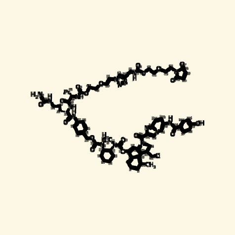 Cc1cccc2c(OC(=O)N(C)[C@H]3CCCC[C@H]3N(C)C(=O)OCc3ccc(NC(=O)[C@H](CCCNC(N)=O)NC(=O)[C@@H](NC(=O)OCCOCCn4cc(CNC(=O)OCCOCCN5C(=O)C=CC5=O)nn4)C(C)C)cc3)cc3c(c12)C(CCl)CN3C(=O)c1cn2cc(NC(=O)c3ccc(O)cc3)ccc2n1